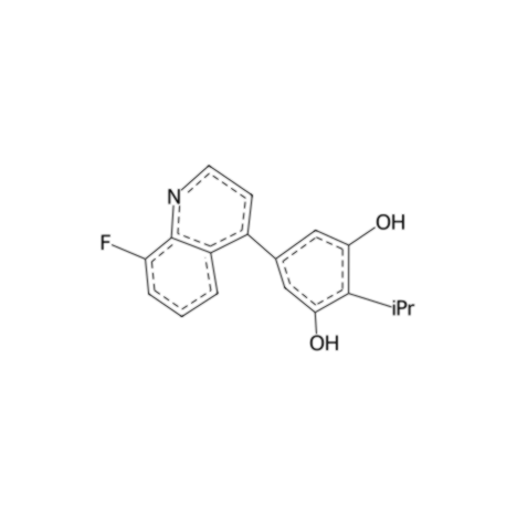 CC(C)c1c(O)cc(-c2ccnc3c(F)cccc23)cc1O